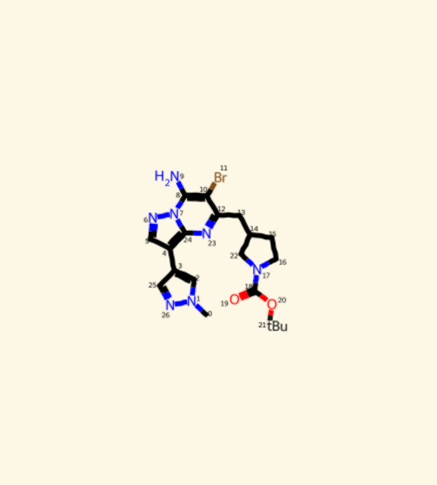 Cn1cc(-c2cnn3c(N)c(Br)c(CC4CCN(C(=O)OC(C)(C)C)C4)nc23)cn1